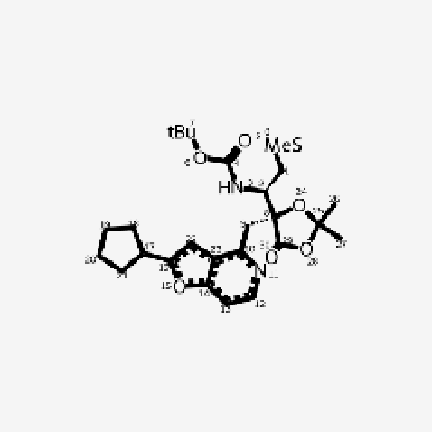 CSC[C@H](NC(=O)OC(C)(C)C)[C@@]1(Cc2nccc3oc(C4CCCC4)cc23)OC(C)(C)OC1=O